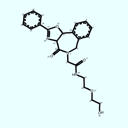 O=C(CN1Cc2ccccc2C2OC(c3ccccc3)=NC2C1=O)NCCOCCO